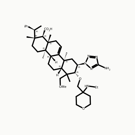 CCNC1(CO[C@H]2[C@H](n3nnc(N)n3)C[C@]3(C)C4=CC[C@@]5(C)[C@H](C(=O)O)[C@@](C)([C@H](C)C(C)C)CC[C@]5(C)[C@H]4CC[C@H]3C2(C)COC)CCOCC1